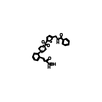 O=C(C=Cc1ccccc1N1CCN(S(=O)(=O)c2ccc(CNC(=O)c3ccccc3)s2)CC1)NO